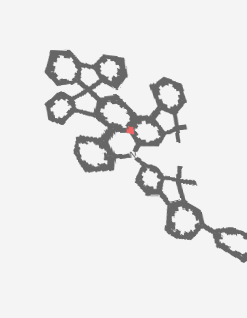 CC1(C)c2ccccc2-c2ccc(N(c3ccc4c(c3)C(C)(C)c3cc(-c5ccccc5)ccc3-4)c3ccccc3-c3cccc4c3-c3ccccc3C43c4ccccc4-c4ccccc43)cc21